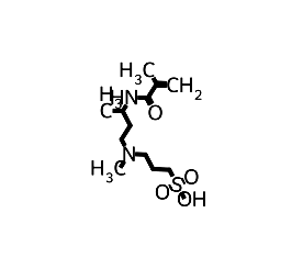 C=C(C)C(=O)NC(C)CCN(C)CCCS(=O)(=O)O